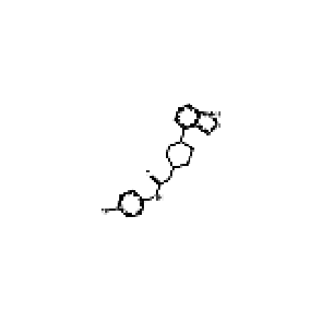 O=C(CC1CCC(c2cccc3[nH]ncc23)CC1)Nc1ccc(Cl)cc1